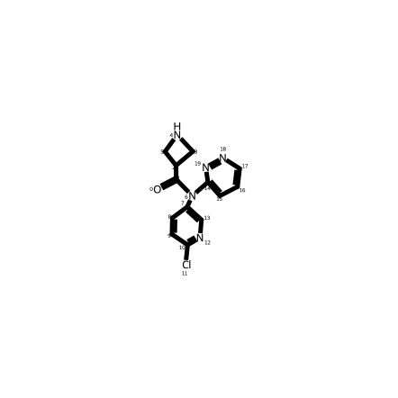 O=C(C1CNC1)N(c1ccc(Cl)nc1)c1cccnn1